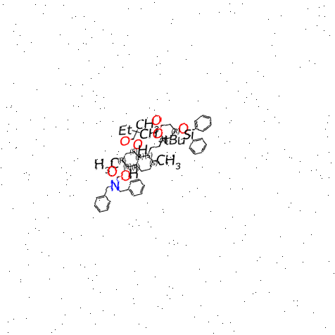 CCC(C)(C)C(=O)O[C@H]1C[C@@H](C)[C@@H](OC(=O)N(Cc2ccccc2)Cc2ccccc2)[C@@H]2CC[C@H](C)[C@H](CC[C@@H]3C[C@@H](O[Si](c4ccccc4)(c4ccccc4)C(C)(C)C)CC(=O)O3)[C@H]21